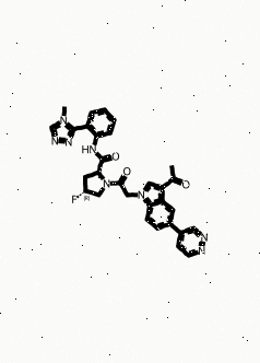 CC(=O)c1cn(CC(=O)N2C[C@H](F)CC2C(=O)Nc2ccccc2-c2nncn2C)c2ccc(-c3ccnnc3)cc12